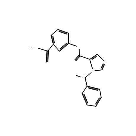 COC(=O)c1cccc(OC(=O)c2cncn2[C@H](C)c2ccccc2)c1